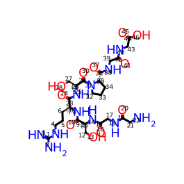 N=C(N)NCCC[C@H](NC(=O)[C@H](CO)NC(=O)CNC(=O)CN)C(=O)N[C@@H](CO)C(=O)N1CCC[C@H]1C(=O)NCC(=O)NCC(=O)O